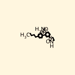 CCCCCc1ccc(-c2cc(N3CCNC3=O)ccc2S(N)(=O)=O)cc1